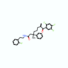 C=C(CCCC(CCC)(CC(=O)NCCc1ccccc1F)c1ccccc1)C(=O)c1cc(F)c(F)cc1F